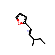 CCC(C)/C=C/c1ccco1